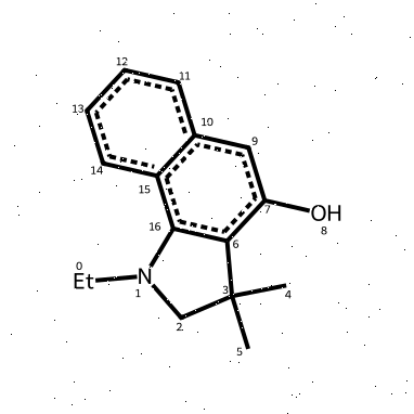 CCN1CC(C)(C)c2c(O)cc3ccccc3c21